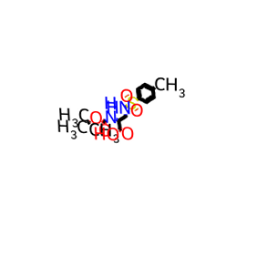 Cc1ccc(S(=O)(=O)NCC(NC(=O)OC(C)(C)C)C(=O)O)cc1